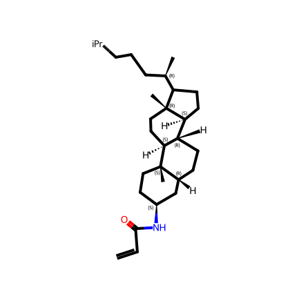 C=CC(=O)N[C@H]1CC[C@@]2(C)[C@H](CC[C@@H]3[C@@H]2CC[C@]2(C)C([C@H](C)CCCC(C)C)CC[C@@H]32)C1